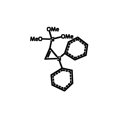 CO[Si](OC)(OC)C1=C[Si]1(c1ccccc1)c1ccccc1